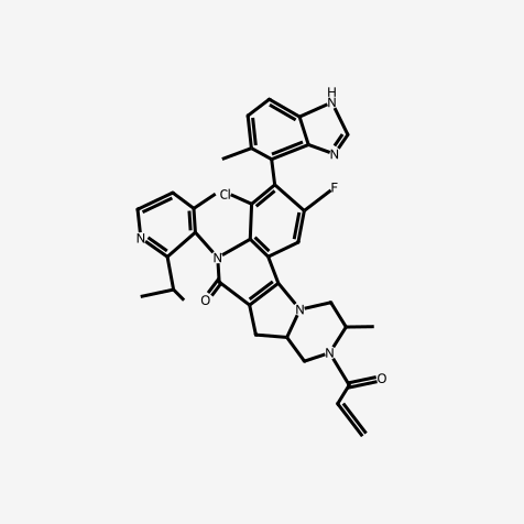 C=CC(=O)N1CC2Cc3c(c4cc(F)c(-c5c(C)ccc6[nH]cnc56)c(Cl)c4n(-c4c(C)ccnc4C(C)C)c3=O)N2CC1C